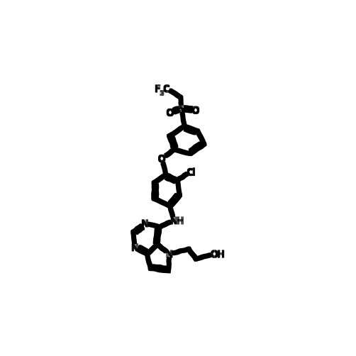 O=S(=O)(CC(F)(F)F)c1cccc(Oc2ccc(Nc3ncnc4ccn(CCO)c34)cc2Cl)c1